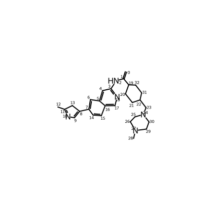 C=C(Nc1cc2cc(C3=CN=C(C)C3)ccc2cn1)C1CCC(CN2CCN(C)CC2)CC1